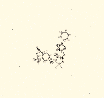 CC1(C)CN(Cc2noc(-c3ccccc3)n2)C(=O)C1Oc1ccc(C#N)c(C(F)(F)F)c1